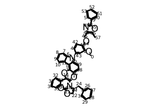 COc1cc(-n2c3ccccc3c3c(OC(C(=O)N4C(=O)OC[C@@H]4Cc4ccccc4)c4ccccc4)cccc32)ccc1OCc1nc(-c2ccccc2)oc1C